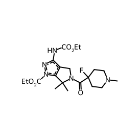 CCOC(=O)Nc1nn(C(=O)OCC)c2c1CN(C(=O)C1(F)CCN(C)CC1)C2(C)C